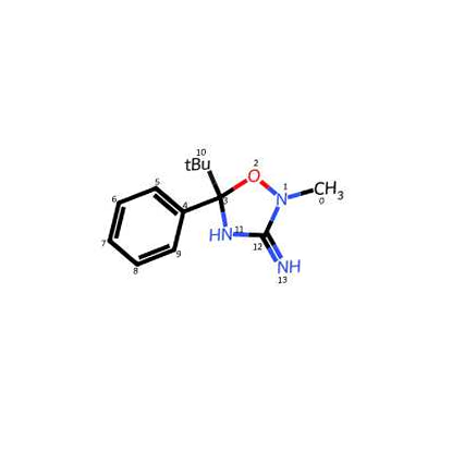 CN1OC(c2ccccc2)(C(C)(C)C)NC1=N